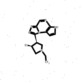 CC[C@@H]1CN(CC(F)(F)F)C[C@@H]1c1nnc2cnc3[nH]ccc3n12